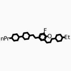 CCCC1CCC(C2CCC(CCc3cc(F)c4c(c3)CCC(C3CCC(CC)CC3)O4)CC2)CC1